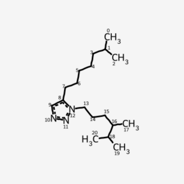 CC(C)CCCCCc1cnnn1CCCC(C)C(C)C